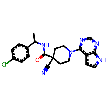 CC(NC(=O)C1(C#N)CCN(c2ncnc3[nH]ccc23)CC1)c1ccc(Cl)cc1